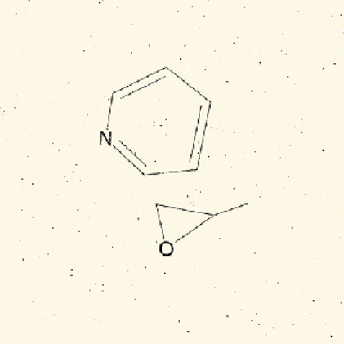 CC1CO1.c1ccncc1